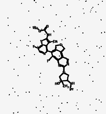 CC(C)NC1CN(c2ncc3c4c(c(-c5ncc(F)c6sc(NC(=O)OC(C)(C)C)c(C#N)c56)c(F)c3n2)COC4)CC1(C)O